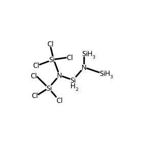 [SiH3]N([SiH3])[SiH2]N([Si](Cl)(Cl)Cl)[Si](Cl)(Cl)Cl